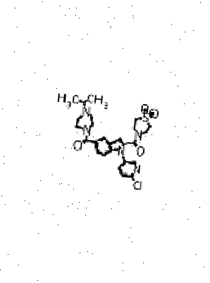 CC(C)N1CCN(C(=O)c2ccc3c(c2)cc(C(=O)N2CCS(=O)(=O)CC2)n3-c2ccc(Cl)nc2)CC1